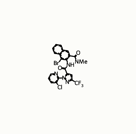 CNC(=O)c1cc2ccccc2c(Br)c1NC(=O)c1cc(C(F)(F)F)nn1-c1ncccc1Cl